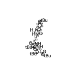 CC(C)(C)OC(=O)CC[C@H](NC(=O)N[C@@H](CCCCNC(=O)[C@H](N)Cc1ccc(OC(C)(C)C)cc1)C(=O)OC(C)(C)C)C(=O)OC(C)(C)C